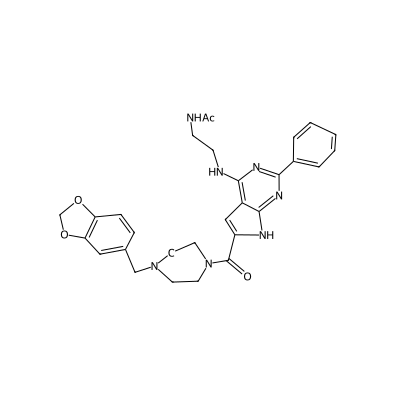 CC(=O)NCCNc1nc(-c2ccccc2)nc2[nH]c(C(=O)N3CCN(Cc4ccc5c(c4)OCO5)CC3)cc12